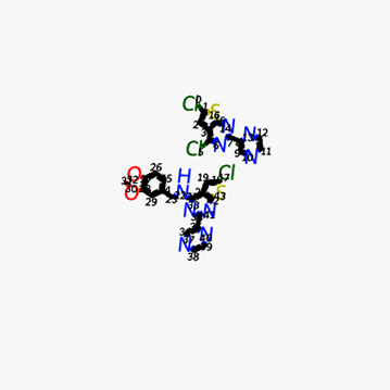 Clc1cc2c(Cl)nc(-c3cnccn3)nc2s1.Clc1cc2c(NCc3ccc4c(c3)OCO4)nc(-c3cnccn3)nc2s1